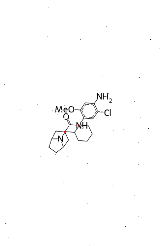 COc1cc(N)c(Cl)cc1NC(=O)C1CC2CCC(C1)N2CC1CCCCC1